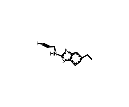 CCc1ccc2sc(NCC#CI)nc2c1